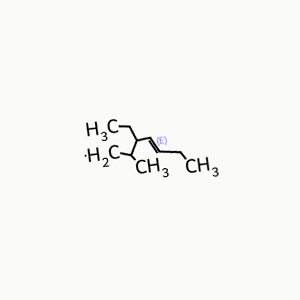 [CH2]C(C)C(/C=C/CC)CC